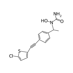 CC(c1ccc(C#Cc2ccc(Cl)s2)cc1)N(O)C(N)=O